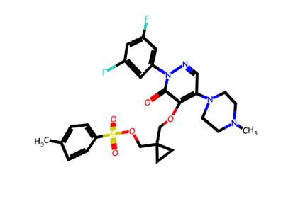 Cc1ccc(S(=O)(=O)OCC2(COc3c(N4CCN(C)CC4)cnn(-c4cc(F)cc(F)c4)c3=O)CC2)cc1